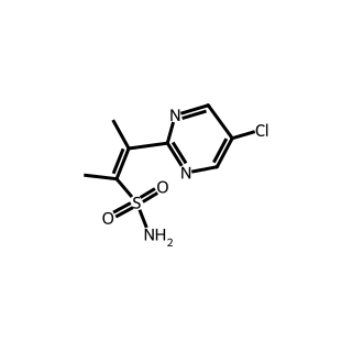 CC(=C(C)S(N)(=O)=O)c1ncc(Cl)cn1